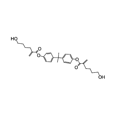 C=C(CCCCO)C(=O)Oc1ccc(C(C)(C)c2ccc(OC(=O)C(=C)CCCCO)cc2)cc1